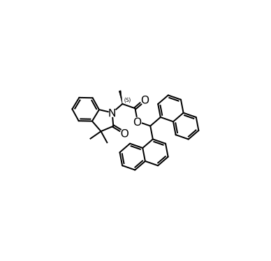 C[C@@H](C(=O)OC(c1cccc2ccccc12)c1cccc2ccccc12)N1C(=O)C(C)(C)c2ccccc21